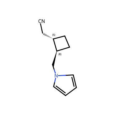 N#CC[C@@H]1CC[C@H]1Cn1cccc1